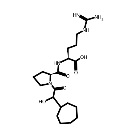 N=C(N)NCCC[C@H](NC(=O)[C@@H]1CCCN1C(=O)C(O)C1CCCCCC1)C(=O)O